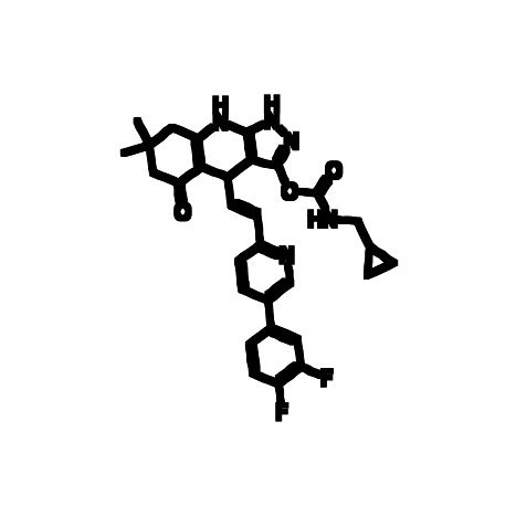 CC1(C)CC(=O)C2=C(C1)Nc1[nH]nc(OC(=O)NCC3CC3)c1C2/C=C/c1ccc(-c2ccc(F)c(F)c2)cn1